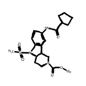 CC(C)(C)OC(=O)N1CCC2C(C1)c1cc(NC(=O)C3CCCC3)ccc1N2S(C)(=O)=O